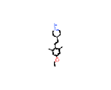 CCOc1cc(C)c(/C=C/C2CCNCC2)c(C)c1